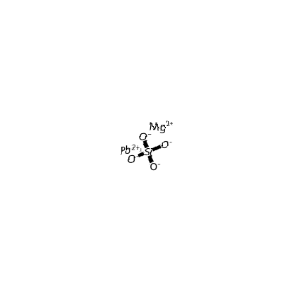 [Mg+2].[O-][Si]([O-])([O-])[O-].[Pb+2]